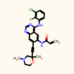 C=CC(=O)Nc1cc2c(Nc3cccc(Cl)c3F)ncnc2cc1C#CC1(C)CN(C)CCO1